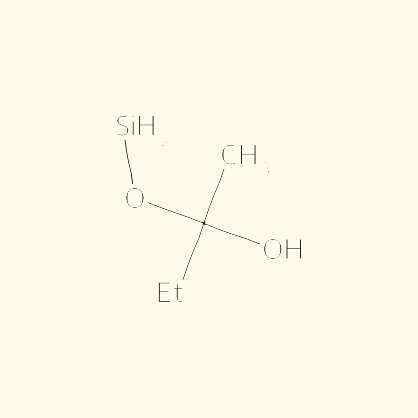 CCC(C)(O)O[SiH3]